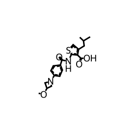 COC1CN(c2ccc(C(=O)Nc3scc(CC(C)C)c3C(=O)O)cc2)C1